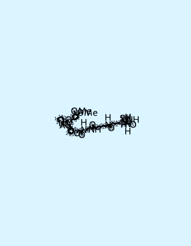 COc1ccc(CC[C@@H](OC(=O)[C@@H]2CCCCN2C(C)=O)c2cccc(OCC(=O)NCCNC(=O)CCCCCNC(=O)CCCC[C@@H]3SC[C@@H]4NC(=O)N[C@@H]43)c2)cc1OC